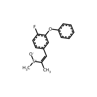 CC(=Cc1ccc(F)c(Oc2ccccc2)c1)[S+](C)[O-]